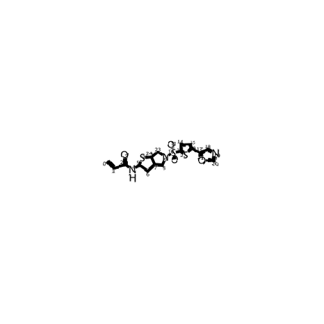 C=CC(=O)NC1CC2CN(S(=O)(=O)c3ccc(-c4cnco4)s3)CC2S1